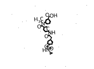 CCN(C(=O)c1ccc(NC(=O)Cc2ccc(S(=O)(=O)NC3CC3)cc2)cc1)c1cccc(C(=O)O)c1